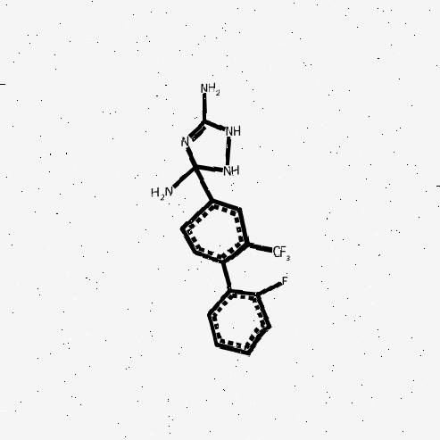 NC1=NC(N)(c2ccc(-c3ccccc3F)c(C(F)(F)F)c2)NN1